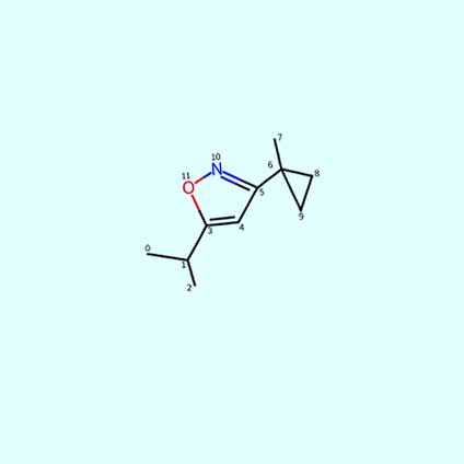 CC(C)c1cc(C2(C)CC2)no1